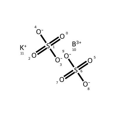 O=S(=O)([O-])[O-].O=S(=O)([O-])[O-].[B+3].[K+]